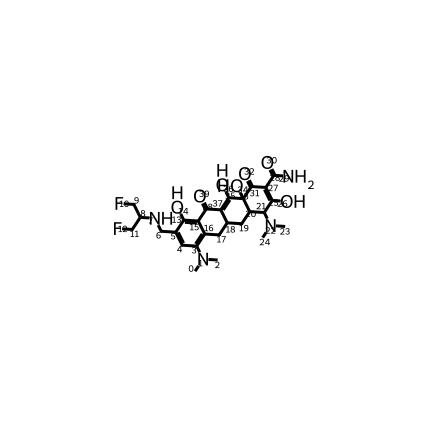 CN(C)c1cc(CNC(CF)CF)c(O)c2c1CC1CC3C(N(C)C)C(O)=C(C(N)=O)C(=O)C3(O)C(O)=C1C2=O